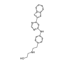 OCCNCCc1ccc(Nc2cc(-c3cc4ccccc4s3)ncn2)cc1